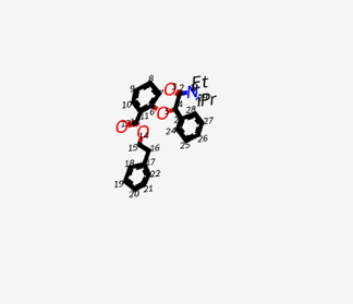 CCN(C(=O)C(Oc1ccccc1C(=O)OCCc1ccccc1)c1ccccc1)C(C)C